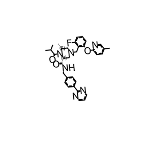 Cc1ccc(Oc2cccc(F)c2CN2C[C@@H](C)N(C(=O)C(C)C)[C@@H](C(=O)NCc3ccc(-c4ncccn4)cc3)C2)nc1